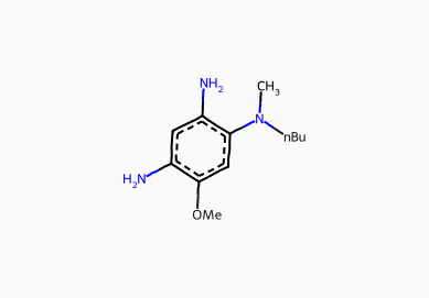 CCCCN(C)c1cc(OC)c(N)cc1N